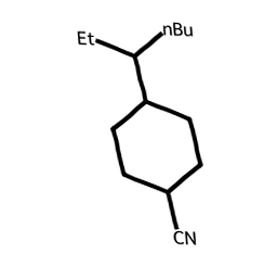 CCCCC(CC)C1CCC(C#N)CC1